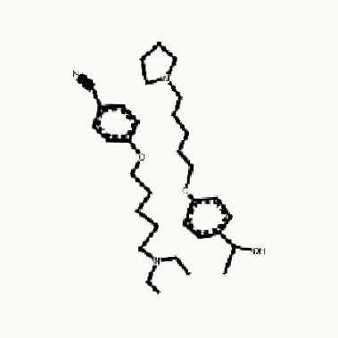 CC(O)c1ccc(OCCCCCN2CCCC2)cc1.CCN(CC)CCCCCOc1ccc(C#N)cc1